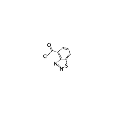 O=C(Cl)c1cccc2snnc12